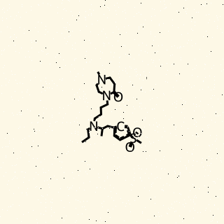 CCCN(CCCCN1CCN(C)CCC1=O)C(C)Cc1ccc(S(C)(=O)=O)cc1